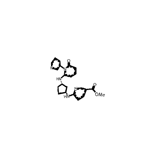 COC(=O)c1ccc(N[C@H]2CC[C@H](Nc3cccc(=O)n3-c3cccnc3)C2)nc1